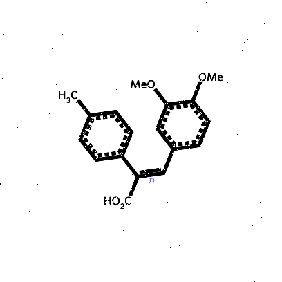 COc1ccc(/C=C(/C(=O)O)c2ccc(C)cc2)cc1OC